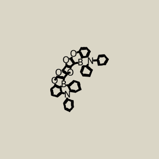 c1ccc(N2c3ccccc3B3c4c(cccc42)Oc2oc4c(oc5c6c(oc54)Oc4cccc5c4B6c4ccccc4N5c4ccccc4)c23)cc1